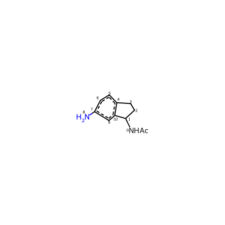 CC(=O)NC1CCc2ccc(N)cc21